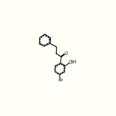 O=C(CCc1ccccc1)c1ccc(Br)cc1O